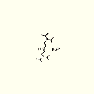 CC(C)P(CCNCCP(C(C)C)C(C)C)C(C)C.[Ru+2]